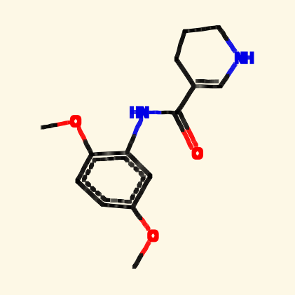 COc1ccc(OC)c(NC(=O)C2=CNCCC2)c1